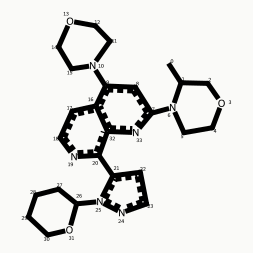 CC1COCCN1c1cc(N2CCOCC2)c2ccnc(-c3ccnn3C3CCCCO3)c2n1